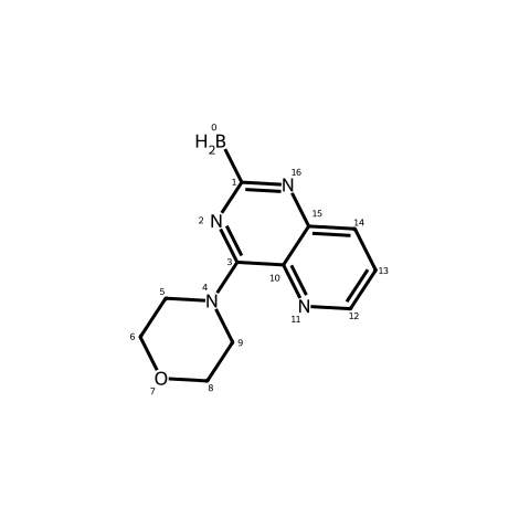 Bc1nc(N2CCOCC2)c2ncccc2n1